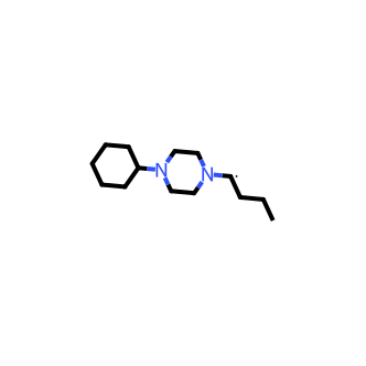 CCC[CH]N1CCN(C2CCCCC2)CC1